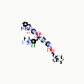 CN(C)CCCOC(=O)CN1CCC(N2CCN(C(=O)[C@@H](Cc3cc(Cl)c(N)c(C(F)(F)F)c3)OC(=O)N3CCC(N4CCc5ccccc5NC4=O)CC3)CC2)CC1